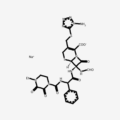 CCN1CCN(C(=O)NC(C(=O)N[C@]2(NC=O)C(=O)N3C(C(=O)[O-])=C(CSc4nnnn4N)CS[C@@H]32)c2ccccc2)C(=O)C1=O.[Na+]